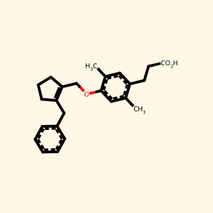 Cc1cc(OCC2=C(Cc3ccccc3)CCC2)c(C)cc1CCC(=O)O